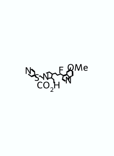 COc1ccc2nccc([C@@H](F)CCC3CCN(CCSc4ccncc4)CC3CCC(=O)O)c2c1